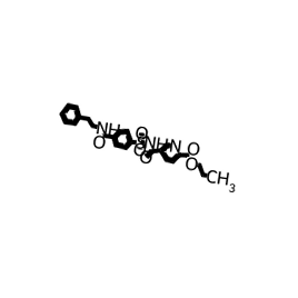 CCCOC(=O)c1ccc(C(=O)NS(=O)(=O)c2ccc(C(=O)NCCc3ccccc3)cc2)cn1